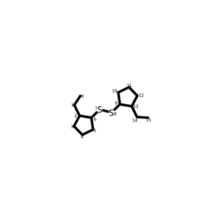 CCC1CCCC1SSC1CCCC1CC